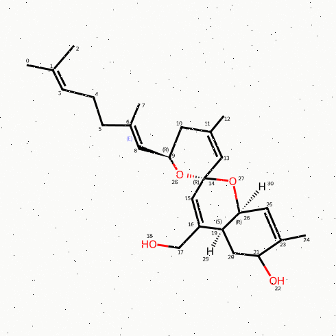 CC(C)=CCC/C(C)=C/[C@H]1CC(C)=C[C@@]2(C=C(CO)[C@@H]3CC(O)C(C)=C[C@@H]3O2)O1